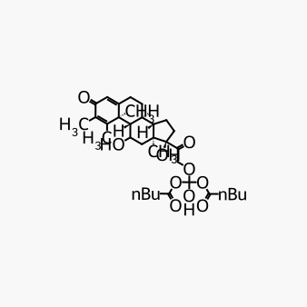 CCCCC(=O)OC(O)(OCC(=O)[C@@]1(O)CC[C@H]2[C@@H]3CCC4=CC(=O)C(C)=C(C)[C@]4(C)[C@H]3C(O)C[C@@]21C)OC(=O)CCCC